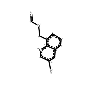 O=COCc1cccc2cc(Br)cnc12